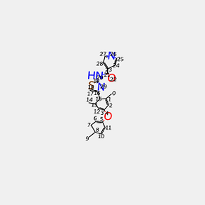 CC1=CC(OC2=CCC(C)C=C2)=CC(C)C1c1csc(NC(=O)c2ccncc2)n1